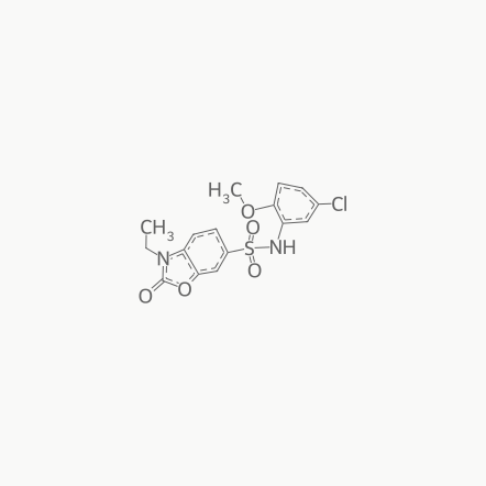 CCn1c(=O)oc2cc(S(=O)(=O)Nc3cc(Cl)ccc3OC)ccc21